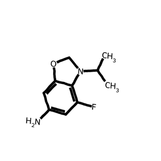 CC(C)N1COc2cc(N)cc(F)c21